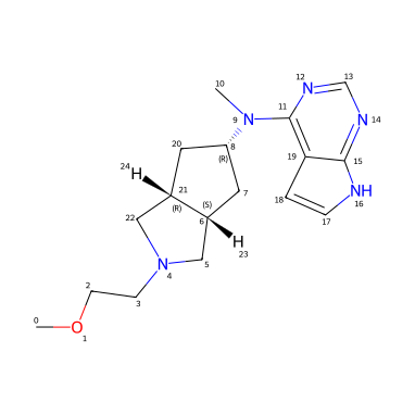 COCCN1C[C@H]2C[C@@H](N(C)c3ncnc4[nH]ccc34)C[C@H]2C1